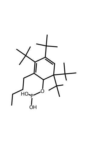 CCCCC1=C(C(C)(C)C)C(C(C)(C)C)=CC(C(C)(C)C)(C(C)(C)C)C1OP(O)O